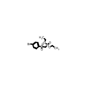 CCOP(=O)(CS(=O)(=O)c1ccc(Br)cc1)OCC